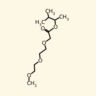 COCCOCCOCC(=O)OC(C)C(C)C